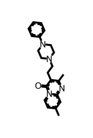 Cc1ccn2c(=O)c(CCN3CCN(c4ccccc4)CC3)c(C)nc2c1